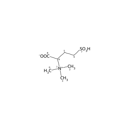 C[N+](C)(C)C(CCS(=O)(=O)O)C(=O)[O-]